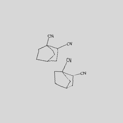 N#CC1CC2CCC1(C#N)C2.N#CC1CC2CCC1(C#N)C2